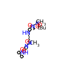 CN(CCN1CCC(OC(=O)Nc2ccccc2-c2ccccc2)CC1)C(=O)CCCCCNc1ccc(C(=O)N(CCCN(C)C(=O)OC(C)(C)C)C2CC2)cc1